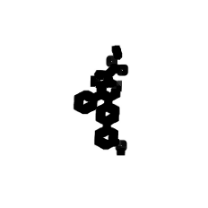 CCOC(=O)c1cnn2c(-c3ccccc3)c(-c3ccc(-c4cccc(OC)c4)cc3)cnc12